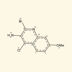 COc1ccc2c(Cl)c(N)c(Br)nc2c1